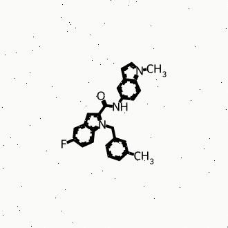 Cc1cccc(Cn2c(C(=O)Nc3ccc4c(ccn4C)c3)cc3cc(F)ccc32)c1